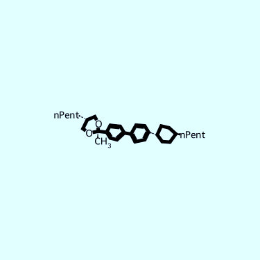 CCCCC[C@H]1CC[C@H](c2ccc(-c3ccc([C@]4(C)OC[C@@H](CCCCC)CO4)cc3)cc2)CC1